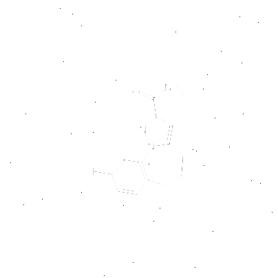 NC(=O)c1cc2n(n1)-c1cc(I)ccc1OCC2